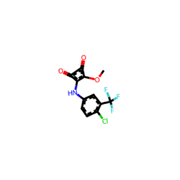 COc1c(Nc2ccc(Cl)c(C(F)(F)F)c2)c(=O)c1=O